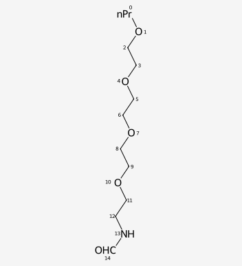 CCCOCCOCCOCCOCCNC=O